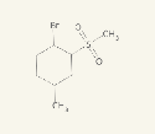 CC1CCC(Br)C(S(C)(=O)=O)C1